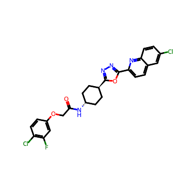 O=C(COc1ccc(Cl)c(F)c1)N[C@H]1CC[C@H](c2nnc(-c3ccc4cc(Cl)ccc4n3)o2)CC1